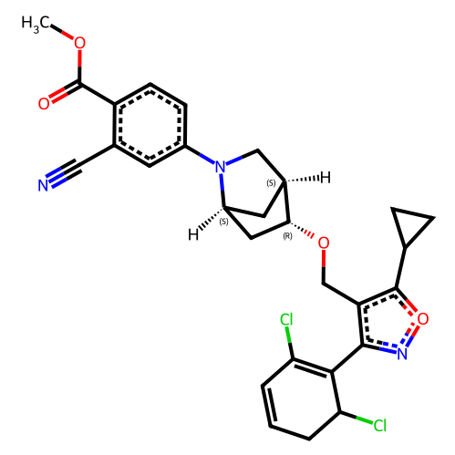 COC(=O)c1ccc(N2C[C@@H]3C[C@H]2C[C@H]3OCc2c(C3=C(Cl)C=CCC3Cl)noc2C2CC2)cc1C#N